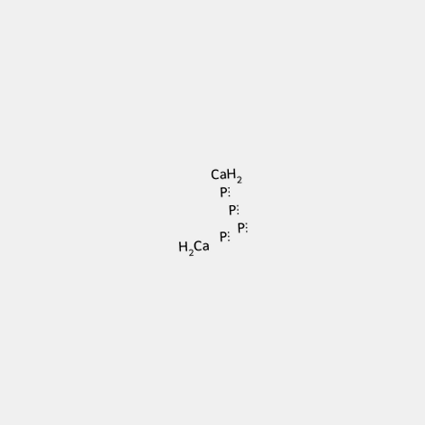 [CaH2].[CaH2].[P].[P].[P].[P]